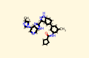 Cc1cc(NC(=O)C2CCCC2)cc(-c2ccc3[nH]nc(-c4nc5c(-n6cnc(C)c6)cncc5[nH]4)c3c2)c1